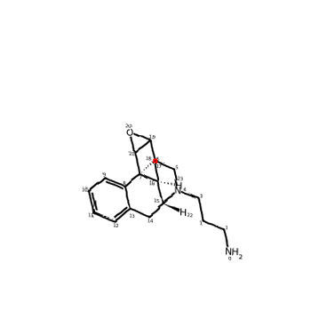 NCCCN1CC[C@@]23c4ccccc4C[C@@H]1[C@@H]2CCC1OC13